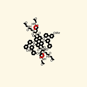 COc1cccc(-c2cccc(Oc3cc4c5c(cc(Oc6cccc(-c7cccc(OC)c7)c6)c6c7c(Oc8cccc(-c9cccc(OC)c9)c8)cc8c9c(cc(Oc%10cccc(-c%11cccc(OC)c%11)c%10)c(c3c56)c97)C(=O)N(C(Cc3ccccc3)C(=O)N(CCC(=O)NCC3CO3)CCC(=O)NCC3CO3)C8=O)C(=O)N(C(Cc3ccccc3)C(=O)N(CCC(=O)NCC3CO3)CCC(=O)NCC3CO3)C4=O)c2)c1